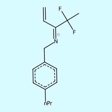 C=C/C(=N\Cc1ccc(CCC)cc1)C(C)(F)F